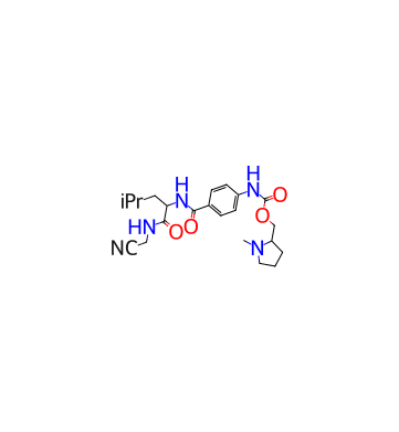 CC(C)CC(NC(=O)c1ccc(NC(=O)OCC2CCCN2C)cc1)C(=O)NCC#N